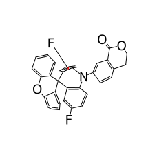 O=C1OCCc2ccc(N3c4ccc(F)cc4C4(c5ccccc5Oc5ccccc54)c4cc(F)ccc43)cc21